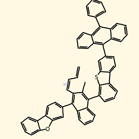 C=C/C=C\c1c(C)c(-c2cccc3c2sc2cc(-c4c5ccccc5c(-c5ccccc5)c5ccccc45)ccc23)c2ccccc2c1-c1ccc2c(c1)oc1ccccc12